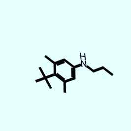 CCCNc1cc(C)c(C(C)(C)C)c(C)c1